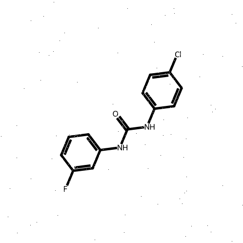 O=C(Nc1ccc(Cl)cc1)Nc1cccc(F)c1